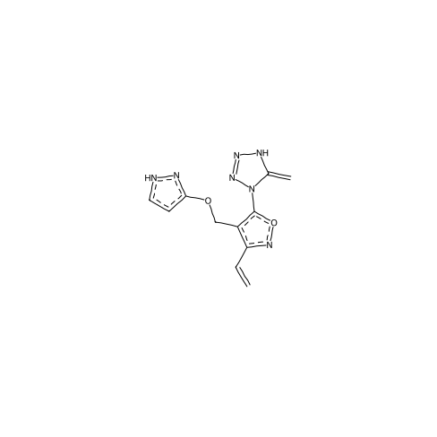 C=Cc1noc(N2N=NNC2=C)c1COc1cc[nH]n1